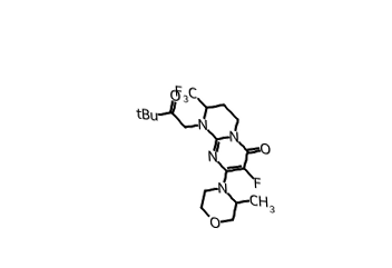 CC1COCCN1c1nc2n(c(=O)c1F)CCC(C(F)(F)F)N2CC(=O)C(C)(C)C